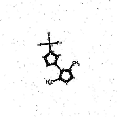 Cc1ccc(C)n1-c1ccn(C(F)(F)F)n1